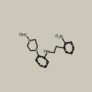 O=CN1CCN(c2ccccc2NCCc2ccccc2[N+](=O)[O-])CC1